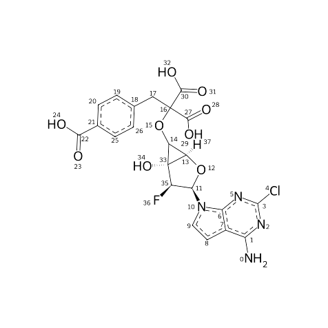 Nc1nc(Cl)nc2c1ccn2[C@@H]1O[C@@H]2C(OC(Cc3ccc(C(=O)O)cc3)(C(=O)O)C(=O)O)[C@]2(O)[C@@H]1F